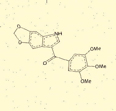 COc1cc(C(=O)c2c[nH]c3cc4c(cc23)OCO4)cc(OC)c1OC